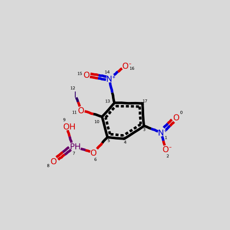 O=[N+]([O-])c1cc(O[PH](=O)O)c(OI)c([N+](=O)[O-])c1